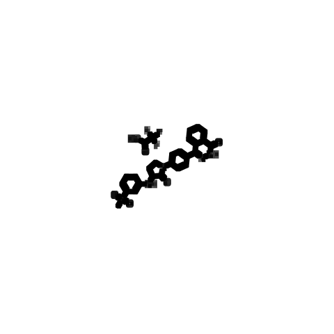 CS(=O)(=O)c1cccc(NC2CCN(c3ccc(-c4n[nH]c(=O)c5ccccc45)cc3)C2=O)c1.O=C(O)C(F)(F)F